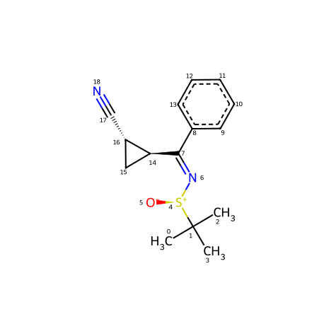 CC(C)(C)[S@@+]([O-])N=C(c1ccccc1)[C@H]1C[C@@H]1C#N